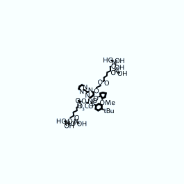 COc1ccccc1Oc1c(OCCOC(=O)CCCC(CON(O)O)ON(O)O)nc(-c2ncccn2)nc1N(C(C)OC(=O)OCCCC(CON(O)O)ON(O)O)S(=O)(=O)c1ccc(C(C)(C)C)cc1